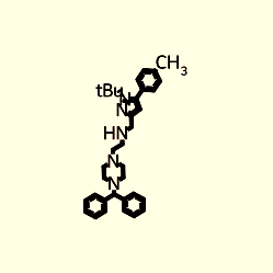 Cc1ccc(-c2cc(CNCCN3CCN(C(c4ccccc4)c4ccccc4)CC3)nn2C(C)(C)C)cc1